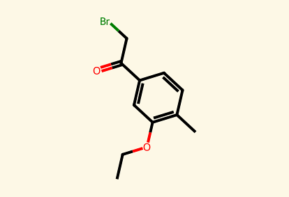 CCOc1cc(C(=O)CBr)ccc1C